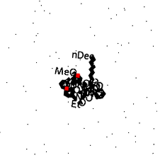 CCCCCCCCCCCCCCCCCCN1C(C(C(=O)Nc2ccc(OC)cc2Sc2ccccc2C)N2C(=O)C(OCC)N(Cc3ccccc3)C2=O)=Nc2ccccc2S1(=O)=O